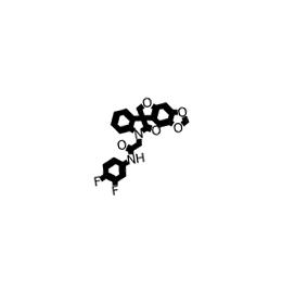 O=C(CN1C(=O)C2(COc3cc4c(cc32)OCO4)c2ccccc21)Nc1ccc(F)c(F)c1